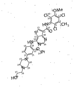 COc1c(Cl)c(C)c(Cl)c(NC(=O)c2csc3c(Nc4ccc(N5CCN(CCO)CC5)cc4OC(C)C)ncnc23)c1Cl